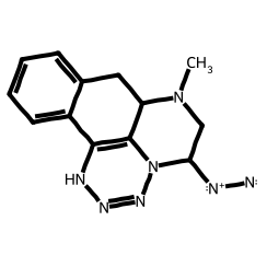 CN1CC([N+][N])N2N=NNC3=C2C1Cc1ccccc13